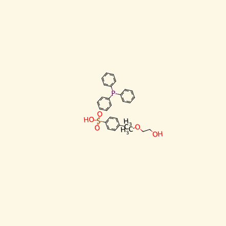 COCCO.Cc1ccc(S(=O)(=O)O)cc1.c1ccc(P(c2ccccc2)c2ccccc2)cc1